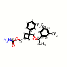 C[C@@H](OC[C@]1(c2ccccc2)C[C@@H](COC(N)=O)C1)c1cc(C(F)(F)F)cc(C(F)(F)F)c1